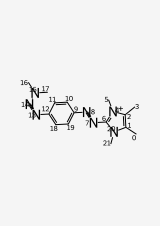 Cc1c(C)[n+](C)c(/N=N/c2ccc(/N=N\N(C)C)cc2)n1C